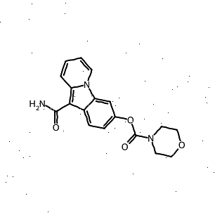 NC(=O)c1c2ccc(OC(=O)N3CCOCC3)cc2n2ccccc12